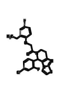 CCc1cc(F)ccc1OCC(=O)N1CCc2nc3sccn3c2C1c1ccc(Cl)cc1F